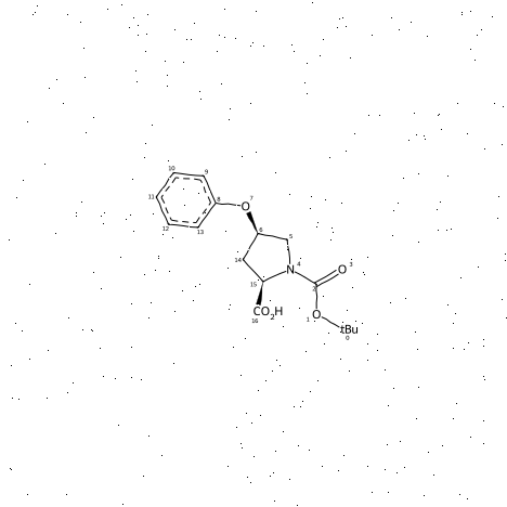 CC(C)(C)OC(=O)N1C[C@H](Oc2ccccc2)C[C@@H]1C(=O)O